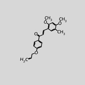 C=CCOc1ccc(C(=O)/C=C/c2cc(C)c(OC)cc2OC)cc1